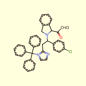 O=CC(=O)C1c2ccccc2CN1C(Cc1nccn1C(c1ccccc1)(c1ccccc1)c1ccccc1)c1ccc(Cl)cc1